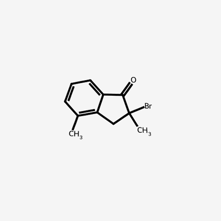 Cc1cccc2c1CC(C)(Br)C2=O